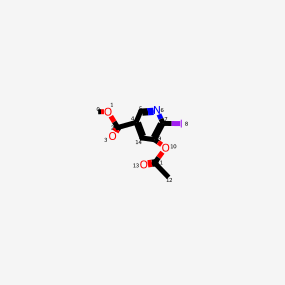 COC(=O)c1cnc(I)c(OC(C)=O)c1